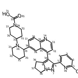 Cc1cccc(-c2nn3c(c2-c2ccnc4ccc(C5CCCCN5C5CCN(C(=O)O)CC5)cc24)CCC3)n1